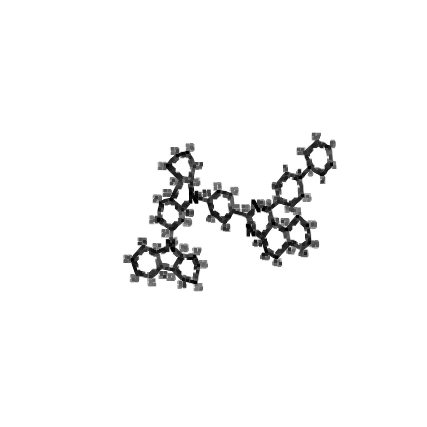 c1ccc(-c2ccc(-c3nc(-c4ccc(-n5c6ccccc6c6ccc(-n7c8ccccc8c8ccccc87)cc65)cc4)nc4ccc5ccccc5c34)cc2)cc1